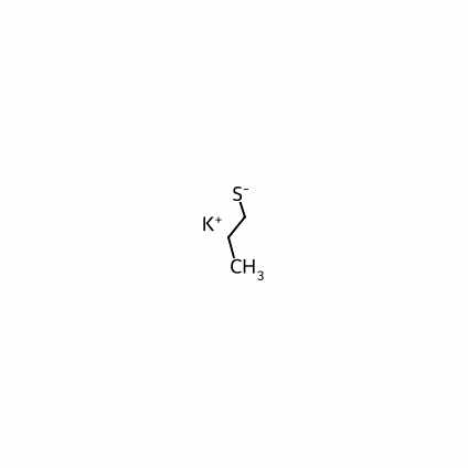 CCC[S-].[K+]